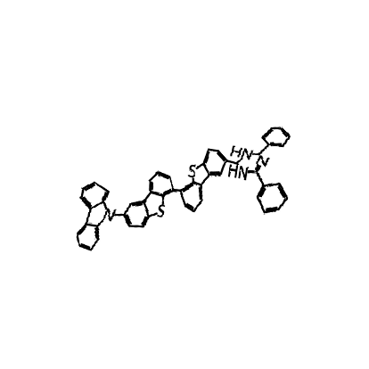 c1ccc(C2=NC(c3ccccc3)NC(c3ccc4sc5c(-c6cccc7c6sc6ccc(-n8c9ccccc9c9ccccc98)cc67)cccc5c4c3)N2)cc1